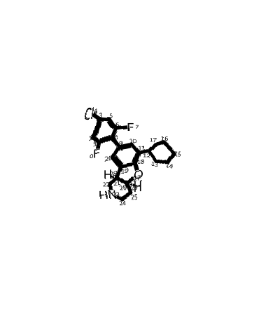 Fc1cc(Cl)cc(F)c1-c1cc(C2CCCCC2)c2c(c1)[C@@H]1CNCC[C@@H]1O2